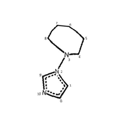 c1cn(N2CCCCC2)cn1